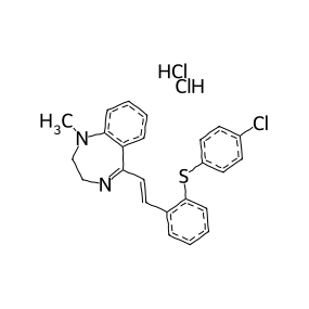 CN1CCN=C(C=Cc2ccccc2Sc2ccc(Cl)cc2)c2ccccc21.Cl.Cl